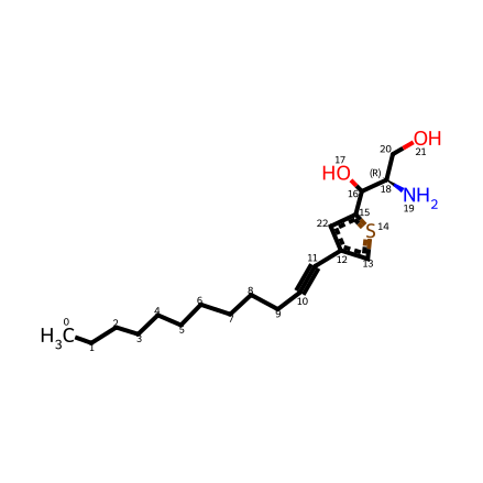 CCCCCCCCCCC#Cc1csc(C(O)[C@H](N)CO)c1